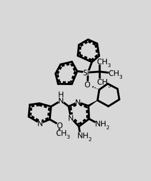 COc1ncccc1Nc1nc(N)c(N)c([C@@H]2CCCC[C@H]2O[Si](c2ccccc2)(c2ccccc2)C(C)(C)C)n1